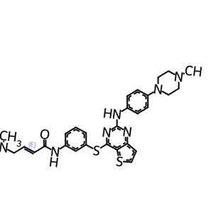 CN(C)C/C=C/C(=O)Nc1cccc(Sc2nc(Nc3ccc(N4CCN(C)CC4)cc3)nc3ccsc23)c1